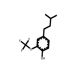 C[C](C)CCc1ccc(O)c(OC(F)(F)F)c1